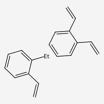 C=Cc1ccccc1C=C.C=Cc1ccccc1CC